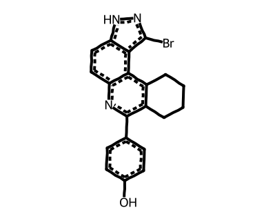 Oc1ccc(-c2nc3ccc4[nH]nc(Br)c4c3c3c2CCCC3)cc1